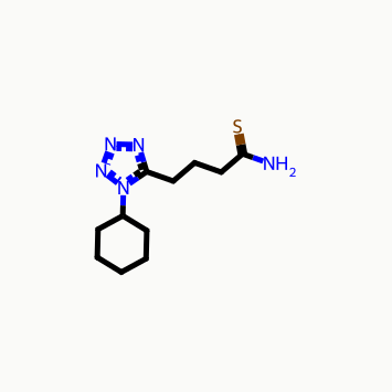 NC(=S)CCCc1nnnn1C1CCCCC1